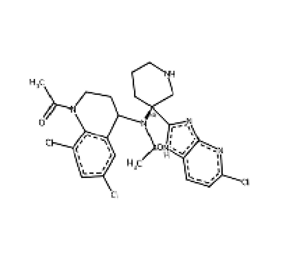 CC(=O)N1CCC(N(C(C)=O)[C@@]2(c3nc4nc(Cl)ccc4[nH]3)CCCNC2)c2cc(Cl)cc(Cl)c21